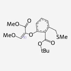 CO/C=C(/Oc1cccc(CSC)c1C(=O)OC(C)(C)C)C(=O)OC